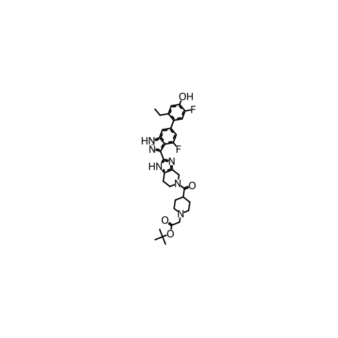 CCc1cc(O)c(F)cc1-c1cc(F)c2c(-c3nc4c([nH]3)CCN(C(=O)C3CCN(CC(=O)OC(C)(C)C)CC3)C4)n[nH]c2c1